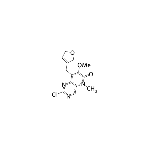 COc1c(CC2=CCOC2)c2nc(Cl)ncc2n(C)c1=O